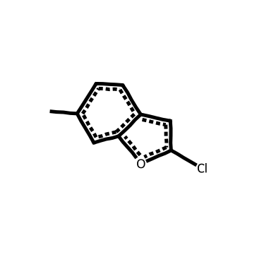 Cc1ccc2cc(Cl)oc2c1